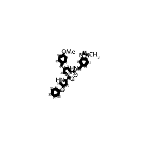 COc1ccc(C[C@@H]2C[C@@H](C(=O)NCc3ccc4c(c3)nnn4C)N(C(=O)[C@H]3C[C@@H](Oc4ccccc4)CN3)C2)cc1